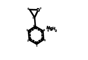 [MgH2].c1ccc(C2CO2)cc1